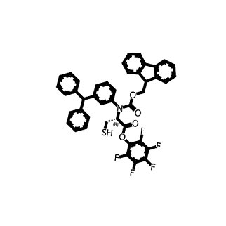 O=C(Oc1c(F)c(F)c(F)c(F)c1F)[C@H](CS)N(C(=O)OCC1c2ccccc2-c2ccccc21)c1cccc(C(c2ccccc2)c2ccccc2)c1